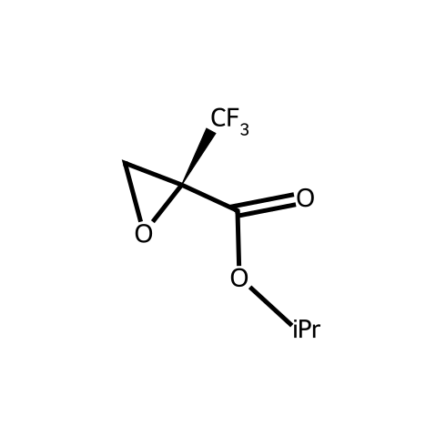 CC(C)OC(=O)[C@@]1(C(F)(F)F)CO1